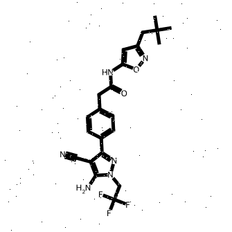 CC(C)(C)Cc1cc(NC(=O)Cc2ccc(-c3nn(CC(F)(F)F)c(N)c3C#N)cc2)on1